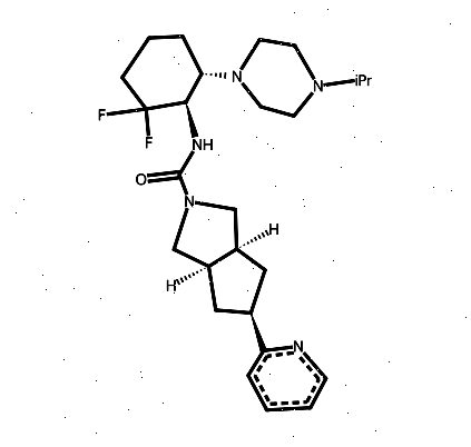 CC(C)N1CCN([C@H]2CCCC(F)(F)[C@@H]2NC(=O)N2C[C@H]3C[C@@H](c4ccccn4)C[C@H]3C2)CC1